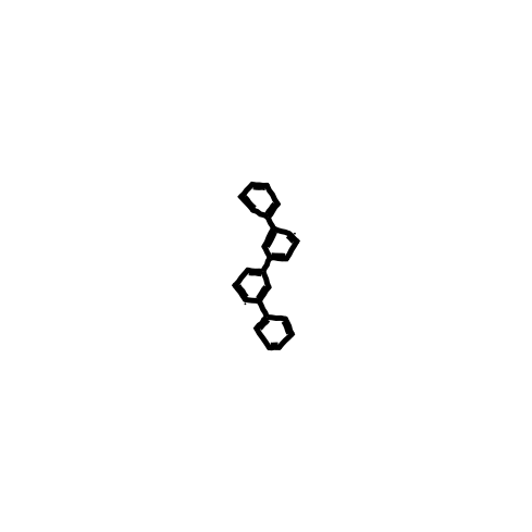 [c]1ccc(-c2cc[c]c(-c3ccccc3)c2)cc1-c1ccccc1